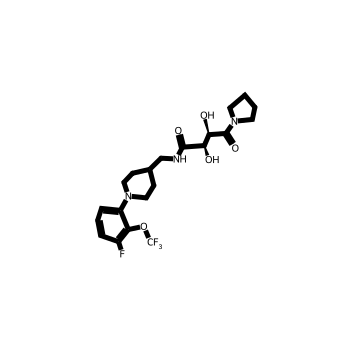 O=C(NCC1CCN(c2cccc(F)c2OC(F)(F)F)CC1)[C@H](O)[C@@H](O)C(=O)N1CCCC1